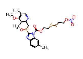 COc1c(C)cnc(C[S+]([O-])c2nc3ccc(C)cc3n2C(=O)OCCSSCCO[N+](=O)[O-])c1C